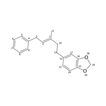 CC(=CCc1ccccc1)CCc1ccc2c(c1)OCO2